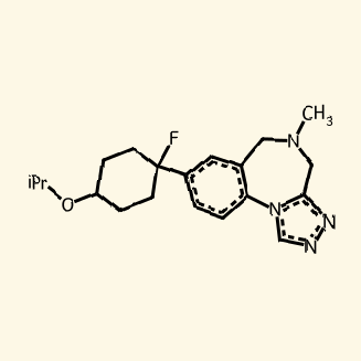 CC(C)OC1CCC(F)(c2ccc3c(c2)CN(C)Cc2nncn2-3)CC1